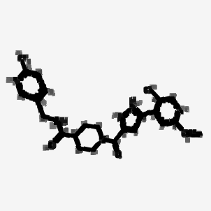 COc1cc(-c2cc(C(=O)N3CCC(C(=O)NCc4ccc(C(F)(F)F)nc4)CC3)n[nH]2)c(Cl)cn1